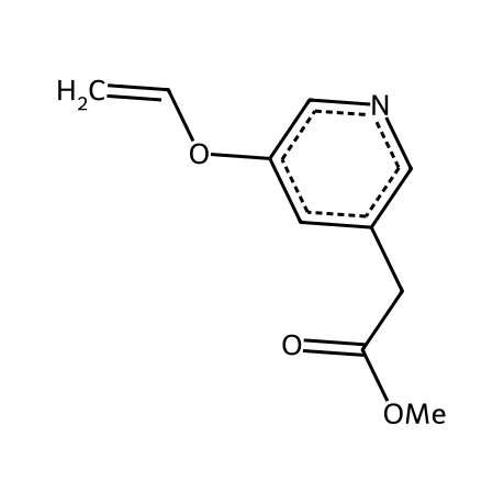 C=COc1cncc(CC(=O)OC)c1